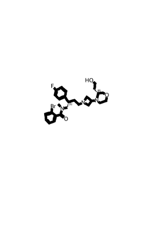 CN(C[C@@H](CCN1CC(N2CCOC[C@H]2CCO)C1)c1ccc(F)cc1)C(=O)c1ccccc1Br